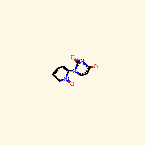 O=c1ccn(C2=CC=CC[N+]2=O)c(=O)[nH]1